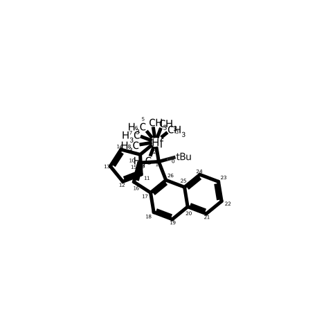 CC(C)(C)[C]1([Hf]([CH3])([CH3])([CH3])([CH3])([CH3])([CH3])([CH3])[CH]2C=CC=C2)C=Cc2ccc3ccccc3c21